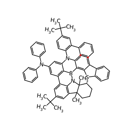 CC(C)(C)c1ccc(N2c3cc(N(c4ccccc4)c4ccccc4)cc4c3B(c3c2ccc2c3sc3ccccc32)N2c3c-4cc(C(C)(C)C)cc3C3(C)CCCCC23C)c(-c2ccccc2)c1